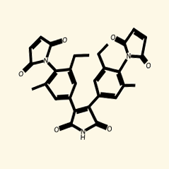 CCc1cc(C2=C(c3cc(C)c(N4C(=O)C=CC4=O)c(CC)c3)C(=O)NC2=O)cc(C)c1N1C(=O)C=CC1=O